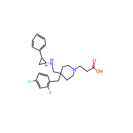 O=C(O)CCN1CCC(CN[C@@H]2CC2c2ccccc2)(Cc2ccc(F)cc2F)CC1